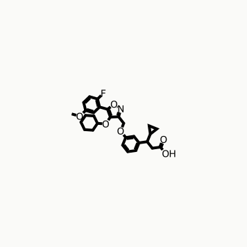 COc1ccc(F)c(-c2onc(COc3cccc(C(CC(=O)O)C4CC4)c3)c2OC2CCCCC2)c1